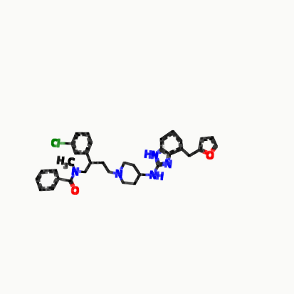 CN(CC(CCN1CCC(Nc2nc3c(Cc4ccco4)cccc3[nH]2)CC1)c1cccc(Cl)c1)C(=O)c1ccccc1